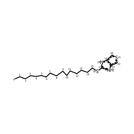 CCCCCCCCCCCCCCCCSc1nc2cscc2[nH]1